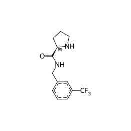 O=C(NCc1cccc(C(F)(F)F)c1)[C@H]1CCCN1